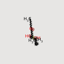 CCCCCCCCCCOC(=O)CCCCCCC1C(O)CCC1SCC(O)C(C)(C)CCc1ccccc1